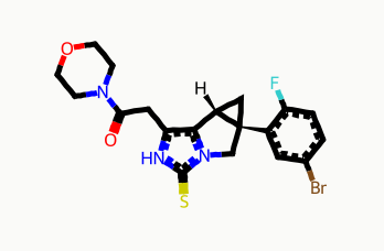 O=C(Cc1[nH]c(=S)n2c1[C@@H]1C[C@]1(c1cc(Br)ccc1F)C2)N1CCOCC1